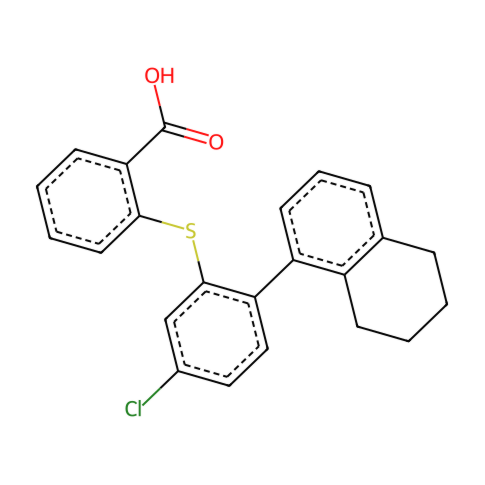 O=C(O)c1ccccc1Sc1cc(Cl)ccc1-c1cccc2c1CCCC2